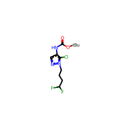 CC(C)(C)OC(=O)Nc1cnn(CCCC(F)F)c1Cl